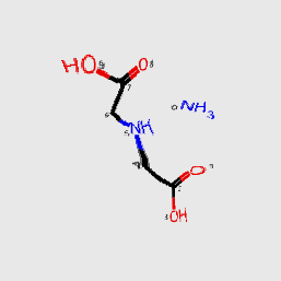 N.O=C(O)CNCC(=O)O